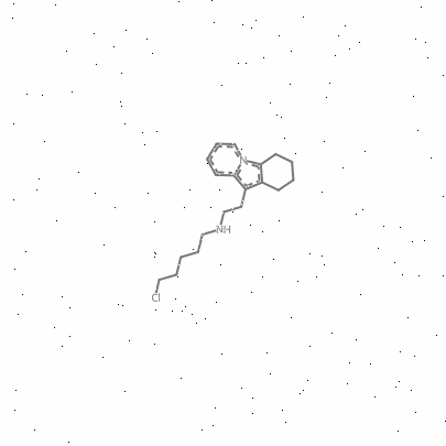 ClCCCCCNCCc1c2c(n3ccccc13)CCCC2